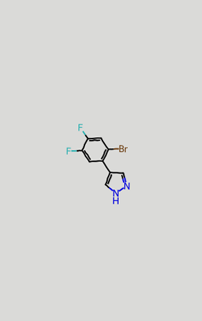 Fc1cc(Br)c(-c2cn[nH]c2)cc1F